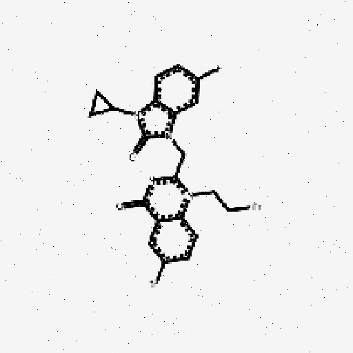 CC(C)CCn1c(Cn2c(=O)n(C3CC3)c3ccc(F)cc32)nc(=O)c2cc(Br)ccc21